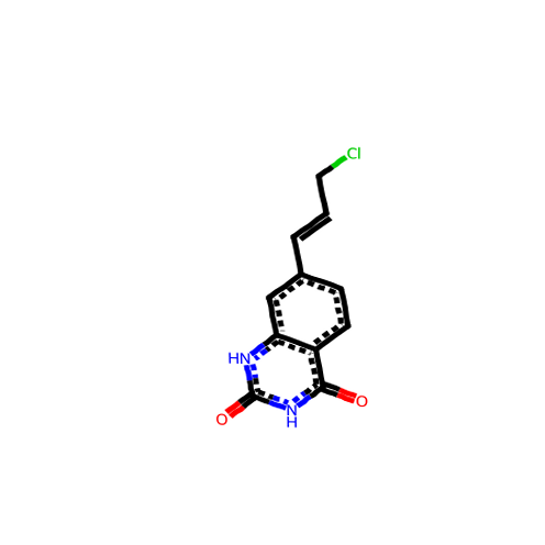 O=c1[nH]c(=O)c2ccc(/C=C/CCl)cc2[nH]1